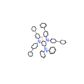 c1ccc(-c2ccc(N3c4ccc(-c5ccccc5)cc4B4c5cc(-c6ccccc6)ccc5N(c5ccc(-c6ccccc6)cc5)c5cc(N(c6ccccc6)c6ccccc6)cc3c54)cc2)cc1